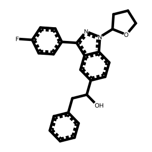 OC(Cc1ccccc1)c1ccc2c(c1)c(-c1ccc(F)cc1)nn2C1CCCO1